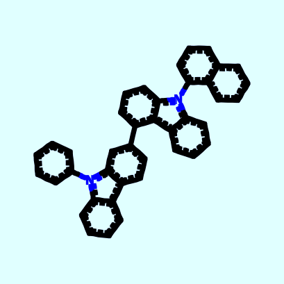 c1ccc(-n2c3ccccc3c3ccc(-c4cccc5c4c4ccccc4n5-c4cccc5ccccc45)cc32)cc1